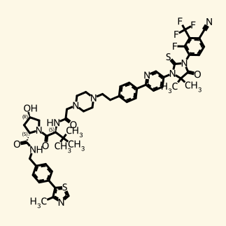 Cc1ncsc1-c1ccc(CNC(=O)[C@@H]2C[C@@H](O)CN2C(=O)[C@@H](NC(=O)CN2CCN(CCc3ccc(-c4ccc(N5C(=S)N(c6ccc(C#N)c(C(F)(F)F)c6F)C(=O)C5(C)C)cn4)cc3)CC2)C(C)(C)C)cc1